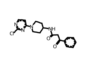 O=C(CC(=O)c1ccccc1)NC1CCN(c2ccnc(Cl)n2)CC1